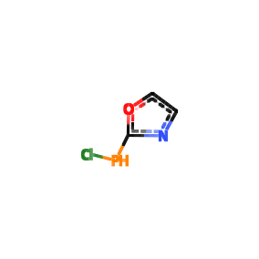 ClPc1ncco1